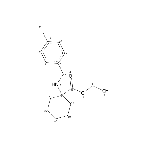 CCOC(=O)C1(NCc2ccc(I)cc2)CCCCC1